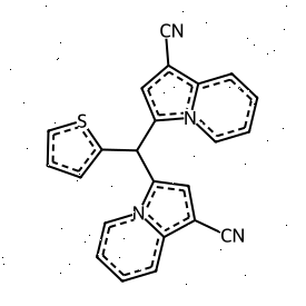 N#Cc1cc(C(c2cccs2)c2cc(C#N)c3ccccn23)n2ccccc12